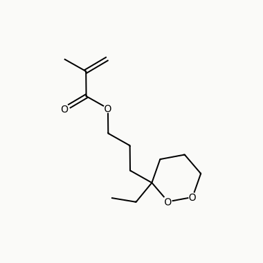 C=C(C)C(=O)OCCCC1(CC)CCCOO1